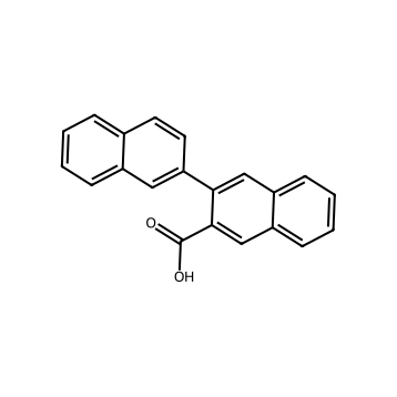 O=C(O)c1cc2ccccc2cc1-c1ccc2ccccc2c1